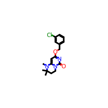 CN1c2cc(OCc3cccc(Cl)c3)nc(=O)n2CCC1(C)C